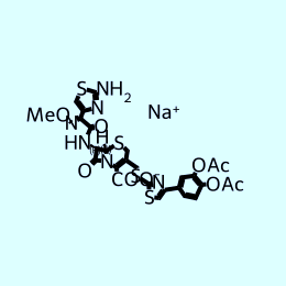 CON=C(C(=O)N[C@@H]1C(=O)N2C(C(=O)[O-])=C(CSc3nc(-c4ccc(OC(C)=O)c(OC(C)=O)c4)cs3)CS[C@@H]12)c1csc(N)n1.[Na+]